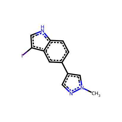 Cn1cc(-c2ccc3[nH]cc(I)c3c2)cn1